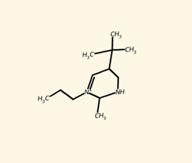 CCC[N+]1=CC(C(C)(C)C)CNC1C